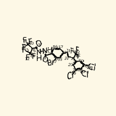 O=C(NNC(=O)C(C(F)(F)F)C(F)(F)F)c1ccc(/C=C/C(c2cc(Cl)c(Cl)c(Cl)c2)C(F)(F)F)cc1Br